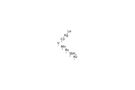 [Ag].[Au].[Co].[La].[Mn].[Ru].[SbH3].[V]